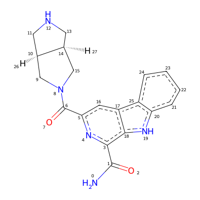 NC(=O)c1nc(C(=O)N2C[C@H]3CNC[C@H]3C2)cc2c1[nH]c1ccccc12